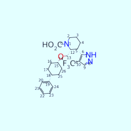 O=C(O)N1CCC[C@H](c2[nH]ncc2C(F)(F)F)[C@@H]1CO[C@H]1CC[C@@H](c2ccccc2)CC1